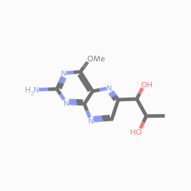 COc1nc(N)nc2ncc(C(O)C(C)O)nc12